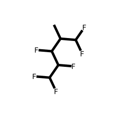 CC(C(F)F)C(F)C(F)C(F)F